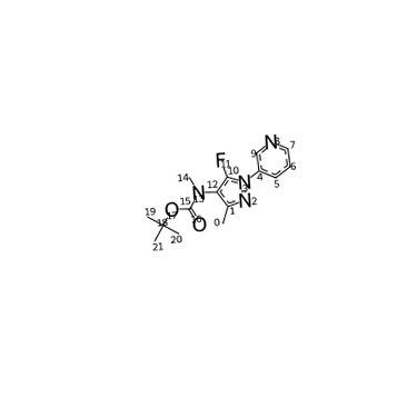 Cc1nn(-c2cccnc2)c(F)c1N(C)C(=O)OC(C)(C)C